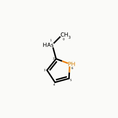 C[AsH]c1ccc[pH]1